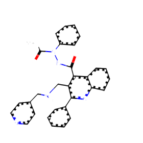 CCN(Cc1ccncc1)Cc1c(-c2ccccc2)nc2ccccc2c1C(=O)NN(C(=O)OC)c1ccccc1